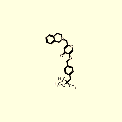 COC(C)(C)Cc1ccc(COc2coc(CN3CCc4ccccc4C3)cc2=O)cc1